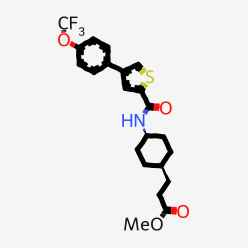 COC(=O)CC[C@H]1CC[C@H](NC(=O)c2cc(-c3ccc(OC(F)(F)F)cc3)cs2)CC1